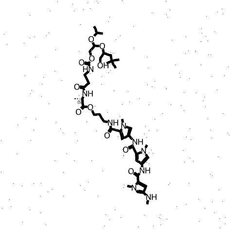 CNc1cc(C(=O)Nc2cc(C(=O)Nc3cc(C(=O)NCCCOC(=O)[C@H](C)NC(=O)CCNC(=O)OCC(OC(C)C)OC(CO)CC(C)(C)C)n(C)c3)n(C)c2)n(C)c1